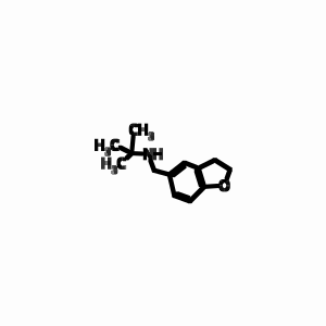 CC(C)(C)NCc1ccc2c(c1)CCO2